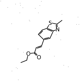 CCOC(=O)/C=C/c1ccc2sc(C)nc2c1